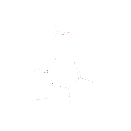 CC(=O)CCC(=S)N1C(C)SCC1C(=O)O